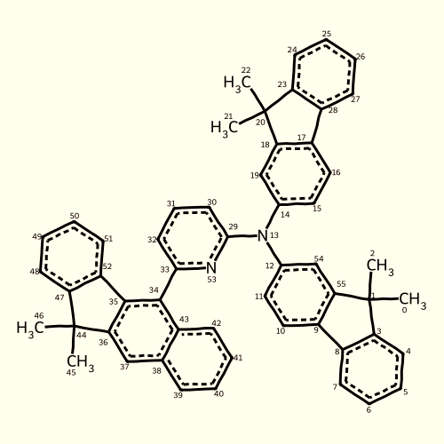 CC1(C)c2ccccc2-c2ccc(N(c3ccc4c(c3)C(C)(C)c3ccccc3-4)c3cccc(-c4c5c(cc6ccccc46)C(C)(C)c4ccccc4-5)n3)cc21